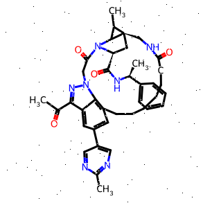 CC(=O)c1nn2c3c(cc(-c4cnc(C)nc4)cc13)CCCCCCC(=O)NC[C@@]13C[C@@H](C(=O)N[C@@H](C)c4ccccc4)N(C(=O)C2)C1C3C